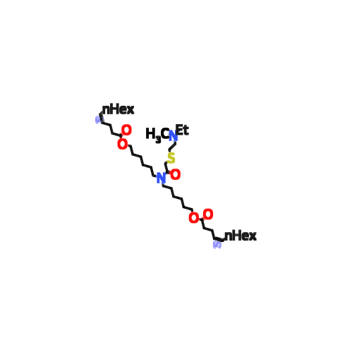 CCCCCC/C=C\CCC(=O)OCCCCCCN(CCCCCCOC(=O)CC/C=C\CCCCCC)C(=O)CSCCN(C)CC